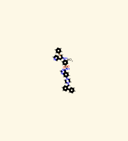 O=[N+]([O-])c1cc(S(=O)(=O)Nc2ncnc3cc(N4CCN(Cc5ccccc5-c5ccccc5)CC4)ccc23)ccc1NC(CSc1ccccc1)Cc1cccnc1